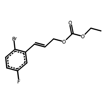 CCOC(=O)OCC=Cc1cc(F)ccc1Br